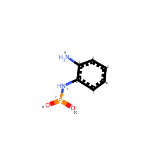 Nc1ccccc1NP(=O)=O